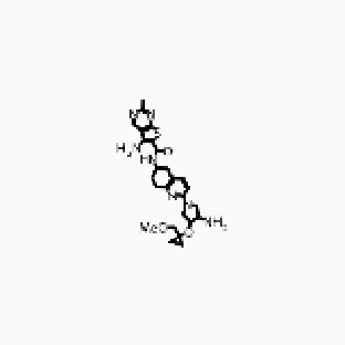 COCC1(OC2CN(c3ccc4c(n3)CCC(NC(=O)c3sc5nc(C)ncc5c3N)C4)CC2N)CC1